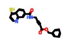 O=C(C#CCNC(=O)c1ccc2c(S)ccnc2c1)OCc1ccccc1